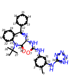 Cc1ccc(NC(=O)N[C@@H]2N=C(c3ccccc3)c3ccccc3N(C(C)(C)C)C2=O)cc1Nc1nnn[nH]1